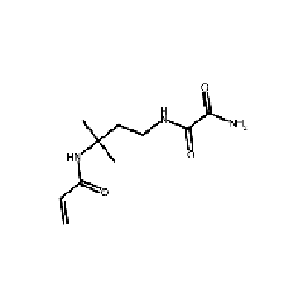 C=CC(=O)NC(C)(C)CCNC(=O)C(N)=O